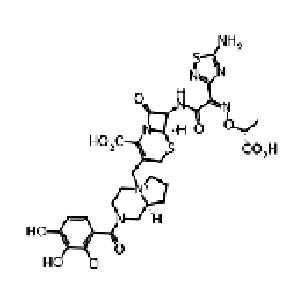 C[C@@H](O/N=C(\C(=O)N[C@@H]1C(=O)N2C(C(=O)O)=C(C[N+]34CCC[C@H]3CN(C(=O)c3ccc(O)c(O)c3Cl)CC4)CS[C@H]12)c1nsc(N)n1)C(=O)O